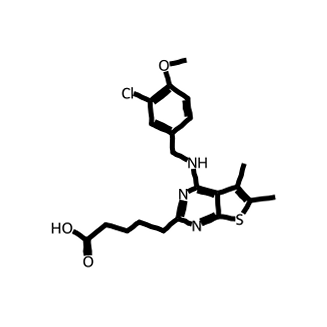 COc1ccc(CNc2nc(CCCCC(=O)O)nc3sc(C)c(C)c23)cc1Cl